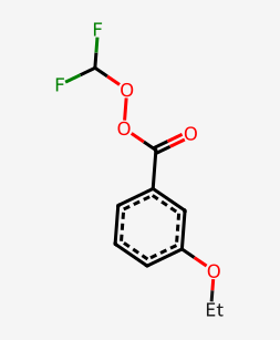 CCOc1cccc(C(=O)OOC(F)F)c1